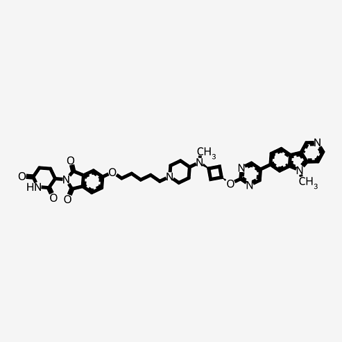 Cn1c2ccncc2c2ccc(-c3cnc(O[C@H]4C[C@H](N(C)C5CCN(CCCCCOc6ccc7c(c6)C(=O)N(C6CCC(=O)NC6=O)C7=O)CC5)C4)nc3)cc21